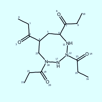 CCC(=O)C1CC(C(=O)CC)NN(C(=O)CC)NN(C(=O)CC)C1